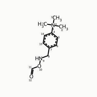 C[N+](C)(C)c1ccc(CNOC=O)cc1